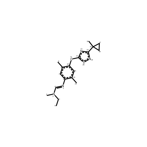 CCN(C)C=Nc1cc(C)c(Oc2nc(C3(C)CC3)ns2)cc1C